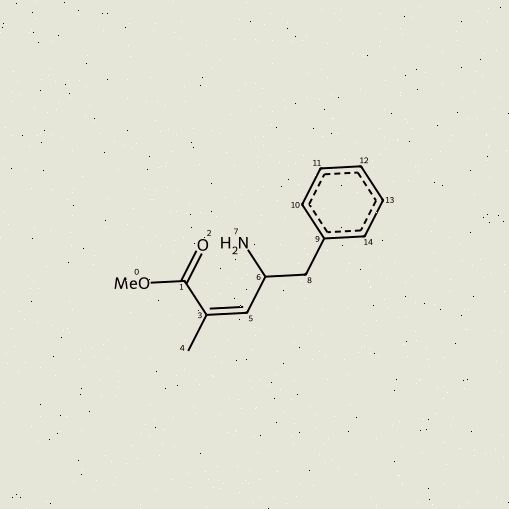 COC(=O)C(C)=CC(N)Cc1ccccc1